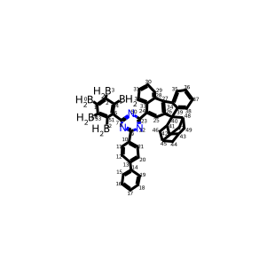 Bc1c(B)c(B)c(-c2nc(-c3ccc(-c4ccccc4)cc3)nc(-c3cc4c(c5ccccc35)-c3ccccc3C43C4CC5CC(C4)CC3C5)n2)c(B)c1B